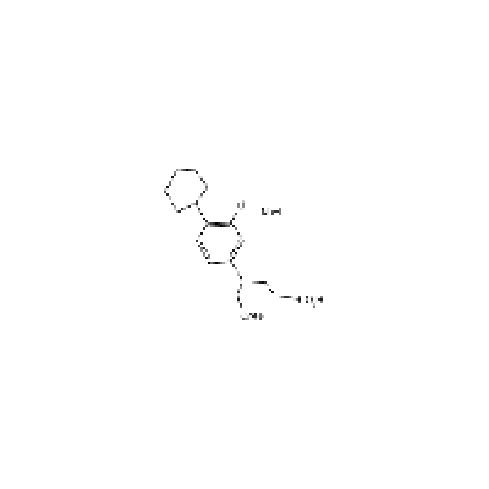 COCC(CCC(=O)O)c1ccc(C2CCCCC2)c(Cl)c1.[NaH]